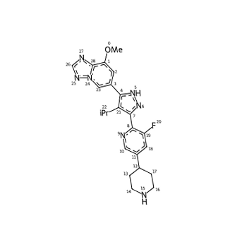 COc1cc(-c2[nH]nc(-c3ncc(C4CCNCC4)cc3F)c2C(C)C)cn2ncnc12